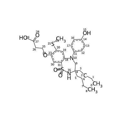 CCCCC1(CCCC)CN(c2ccc(O)cc2)c2cc(SC)c(OCCC(=O)O)cc2S(=O)(=O)N1